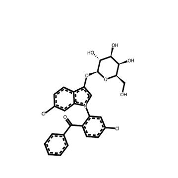 O=C(c1ccccc1)c1ccc(Cl)cc1-n1cc(O[C@@H]2O[C@H](CO)[C@H](O)[C@H](O)[C@H]2O)c2ccc(Cl)cc21